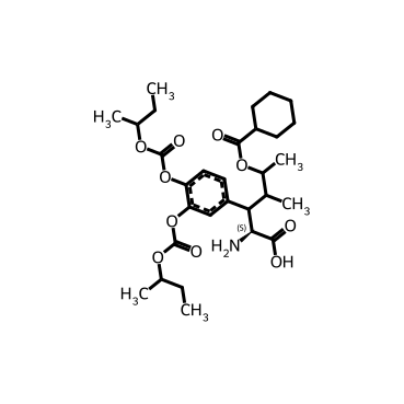 CCC(C)OC(=O)Oc1ccc(C(C(C)C(C)OC(=O)C2CCCCC2)[C@H](N)C(=O)O)cc1OC(=O)OC(C)CC